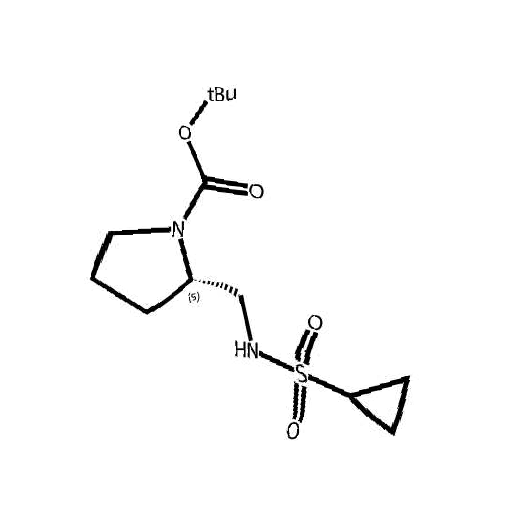 CC(C)(C)OC(=O)N1CCC[C@H]1CNS(=O)(=O)C1CC1